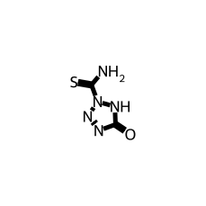 NC(=S)n1nnc(=O)[nH]1